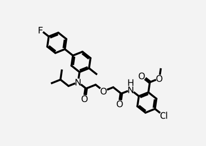 COC(=O)c1cc(Cl)ccc1NC(=O)COCC(=O)N(CC(C)C)c1cc(-c2ccc(F)cc2)ccc1C